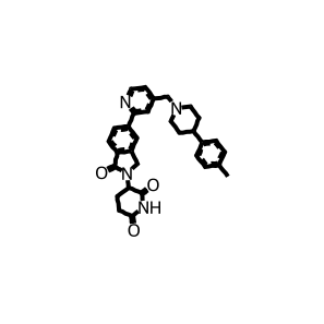 Cc1ccc(C2CCN(Cc3ccnc(-c4ccc5c(c4)CN(C4CCC(=O)NC4=O)C5=O)c3)CC2)cc1